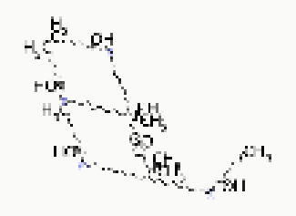 CCCCCC[C@@H](O)C/C=C\CCCCCCCCC(CCCCCCCC/C=C\C[C@H](O)CCCCCC)C(CCOC(=O)OCCC(C(CCCCCCCC/C=C\C[C@H](O)CCCCCC)CCCCCCCC/C=C\C[C@H](O)CCCCCC)N(C)C)N(C)C